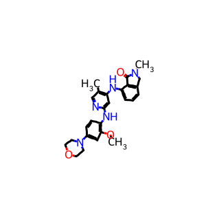 COc1cc(N2CCOCC2)ccc1Nc1cc(Nc2cccc3c2C(=O)N(C)C3)c(C)cn1